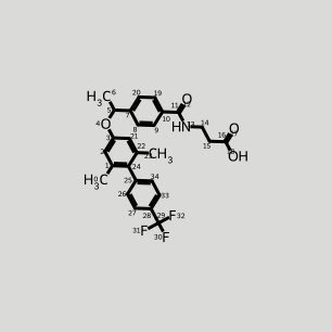 Cc1cc(OC(C)c2ccc(C(=O)NCCC(=O)O)cc2)cc(C)c1-c1ccc(C(F)(F)F)cc1